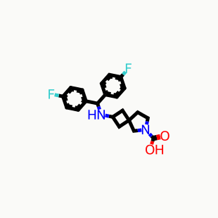 O=C(O)N1CCC2(CC(NC(c3ccc(F)cc3)c3ccc(F)cc3)C2)C1